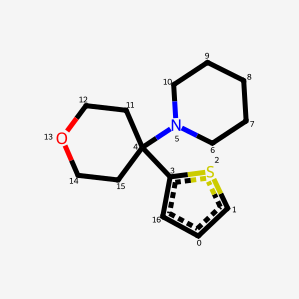 c1csc(C2(N3CCCCC3)CCOCC2)c1